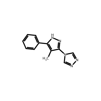 Cc1c(-n2cnnc2)n[nH]c1-c1ccccc1